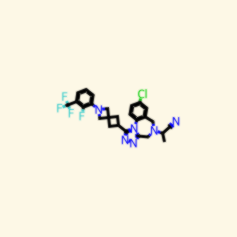 CC(C#N)N1Cc2cc(Cl)ccc2-n2c(nnc2C2CC3(C2)CN(c2cccc(C(F)(F)F)c2F)C3)C1